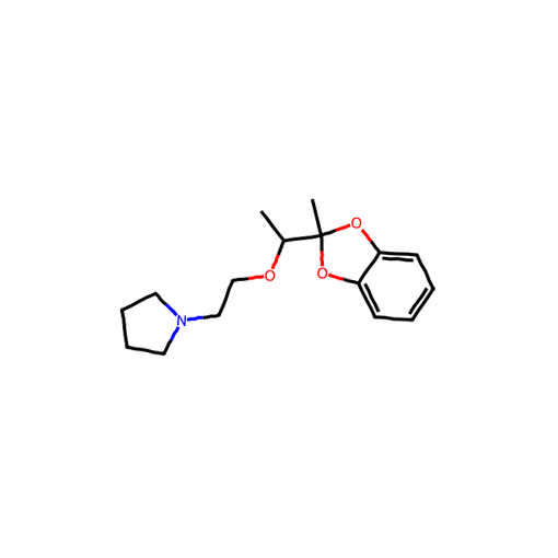 CC(OCCN1CCCC1)C1(C)Oc2ccccc2O1